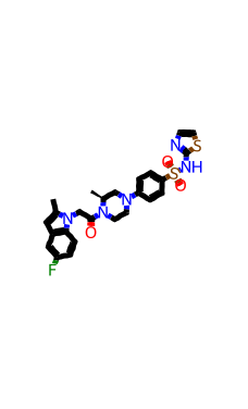 Cc1cc2cc(F)ccc2n1CC(=O)N1CCN(c2ccc(S(=O)(=O)Nc3nccs3)cc2)C[C@@H]1C